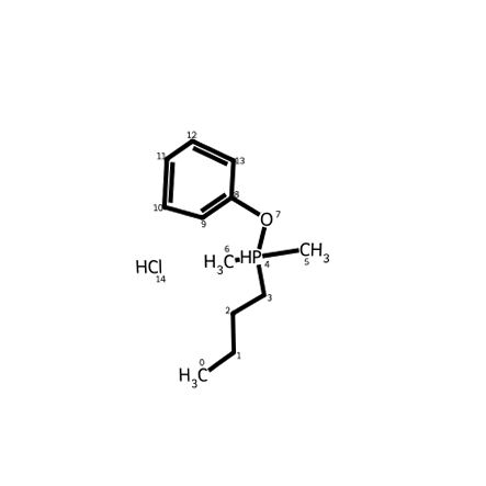 CCCC[PH](C)(C)Oc1ccccc1.Cl